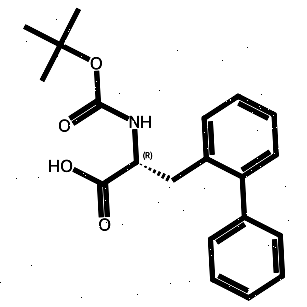 CC(C)(C)OC(=O)N[C@H](Cc1ccccc1-c1ccccc1)C(=O)O